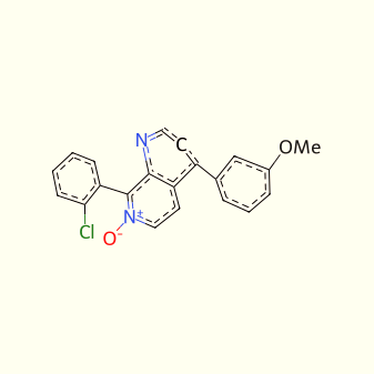 COc1cccc(-c2ccnc3c(-c4ccccc4Cl)[n+]([O-])ccc23)c1